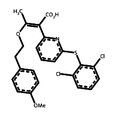 COc1ccc(CCOC(C)=C(C(=O)O)c2cccc(Sc3c(Cl)cccc3Cl)n2)cc1